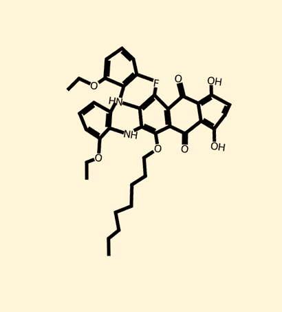 CCCCCCCCOc1c(Nc2c(C)cccc2OCC)c(Nc2c(C)cccc2OCC)c(F)c2c1C(=O)c1c(O)ccc(O)c1C2=O